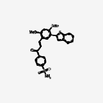 COc1cc(OC)c(-c2cc3ccccc3s2)cc1C=CC(=O)c1ccc(S(N)(=O)=O)cc1